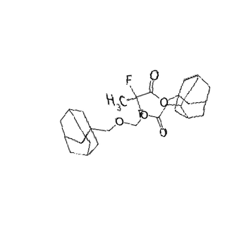 CC(F)(F)C(=O)OC12CC3CC(C1)C(CC(=O)OCOCC14CC5CC(CC(C5)C1)C4)C(C3)C2